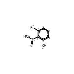 CC(C)c1ccccc1S(=O)O.[KH]